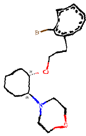 Brc1ccccc1CCO[C@H]1CCCC[C@@H]1N1CCOCC1